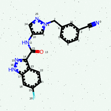 N#Cc1cccc(Cn2cc(NC(=O)c3n[nH]c4cc(F)ccc34)cn2)c1